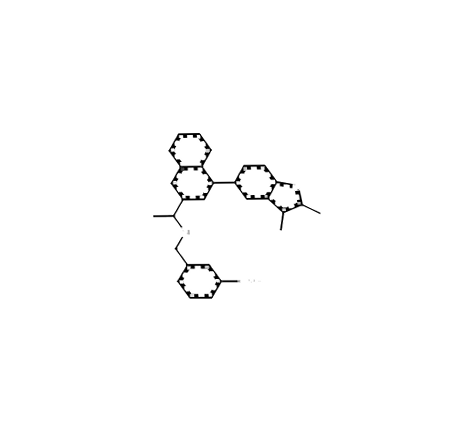 COc1cccc(CNC(C)c2cc(-c3ccc4oc(C)c(C)c4c3)c3ccccc3c2)c1